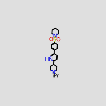 CC(C)N1CCC(C2C=CC(c3ccc(S(=O)(=O)N4CCCCC4)cc3)=CN2)CC1